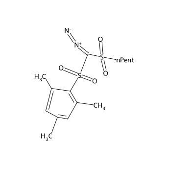 CCCCCS(=O)(=O)C(=[N+]=[N-])S(=O)(=O)c1c(C)cc(C)cc1C